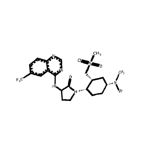 CC(C)N(C)[C@@H]1CC[C@H](N2CCC(Nc3ncnc4ccc(C(F)(F)F)cc34)C2=O)[C@H](CS(C)(=O)=O)C1